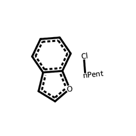 CCCCCCl.c1ccc2occc2c1